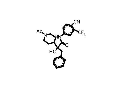 CC(=O)N1CCC(C(O)(Cc2ccccc2)C(=O)Nc2ccc(C#N)c(C(F)(F)F)c2)CC1